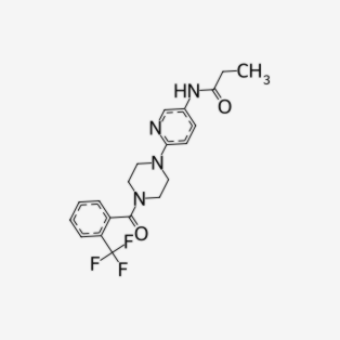 CCC(=O)Nc1ccc(N2CCN(C(=O)c3ccccc3C(F)(F)F)CC2)nc1